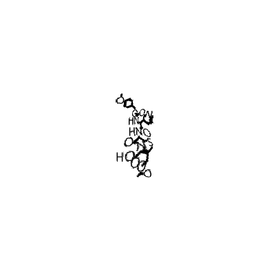 COc1ccc(COC(=O)NC(C(=O)N[C@H]2C(=O)N3C(C(=O)O)=C(COC(C)=O)CSC23)c2cccnc2)cc1